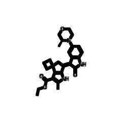 CCOC(=O)c1c(C)[nH]c2c1C1(CCC1)C/C2=C1/C(=O)Nc2ccc(N3CCOC[C@@H]3C)cc21